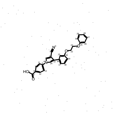 N#Cc1cn(-c2ccc(C(=O)O)cc2)cc1-c1cccc(OCCOc2ccccc2)c1